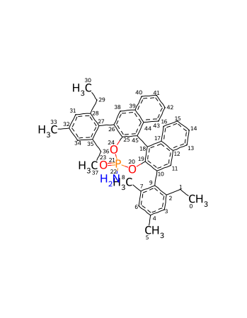 CCc1cc(C)cc(C)c1-c1cc2ccccc2c2c1OP(N)(=O)Oc1c(-c3c(CC)cc(C)cc3CC)cc3ccccc3c1-2